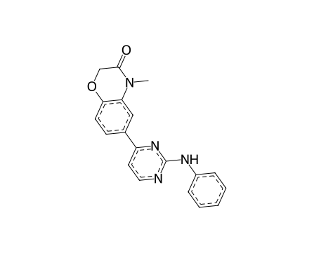 CN1C(=O)COc2ccc(-c3ccnc(Nc4ccccc4)n3)cc21